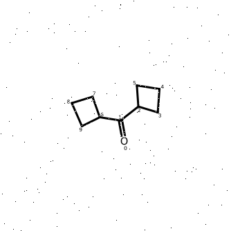 O=C(C1CCC1)C1CCC1